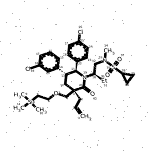 C=CC[C@@]1(COCC[Si](C)(C)C)C[C@H](c2cccc(Cl)c2)[C@@H](c2ccc(Cl)cc2)N([C@H](CC)CN(C)S(=O)(=O)C2CC2)C1=O